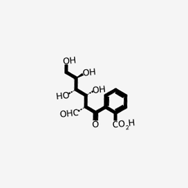 O=C[C@@H](C(=O)c1ccccc1C(=O)O)[C@@H](O)[C@H](O)[C@H](O)CO